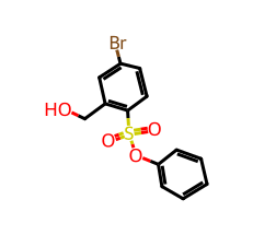 O=S(=O)(Oc1ccccc1)c1ccc(Br)cc1CO